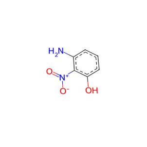 Nc1cccc(O)c1[N+](=O)[O-]